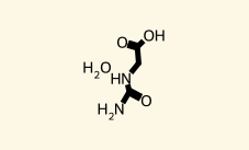 NC(=O)NCC(=O)O.O